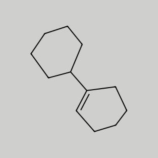 C1=C(C2CCCCC2)CCCC1